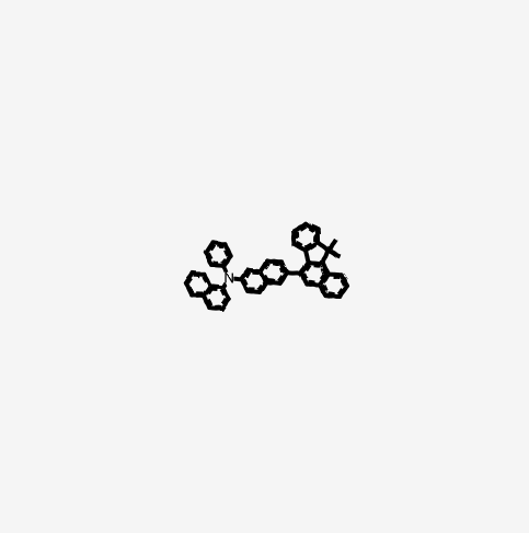 CC1(C)c2ccccc2-c2c(-c3ccc4cc(N(c5ccccc5)c5cccc6ccccc56)ccc4c3)cc3ccccc3c21